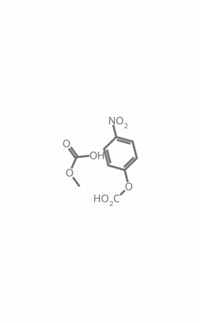 COC(=O)O.O=C(O)Oc1ccc([N+](=O)[O-])cc1